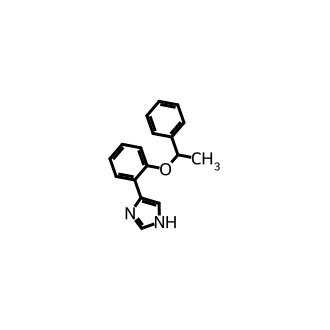 CC(Oc1ccccc1-c1c[nH]cn1)c1ccccc1